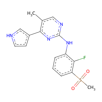 Cc1cnc(Nc2cccc(S(C)(=O)=O)c2F)nc1-c1cc[nH]c1